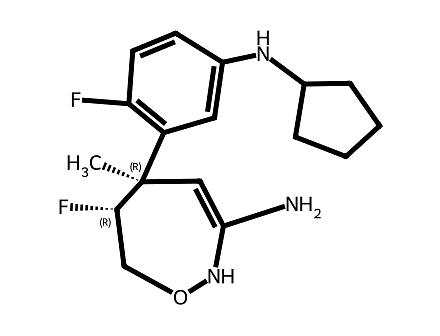 C[C@]1(c2cc(NC3CCCC3)ccc2F)C=C(N)NOC[C@@H]1F